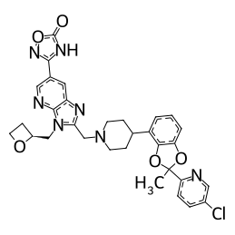 CC1(c2ccc(Cl)cn2)Oc2cccc(C3CCN(Cc4nc5cc(-c6noc(=O)[nH]6)cnc5n4C[C@@H]4CCO4)CC3)c2O1